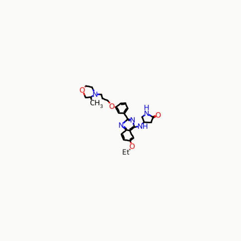 CCOc1ccc2nc(-c3cccc(OCCCN4CCOCC4C)c3)nc(NC3CNC(=O)C3)c2c1